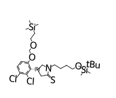 CC(C)(C)[Si](C)(C)OCCCCN1C[C@@H](c2c(OCOCC[Si](C)(C)C)ccc(Cl)c2Cl)CC1=S